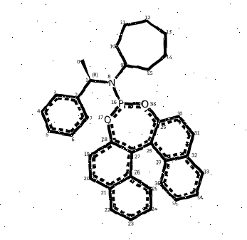 C[C@H](c1ccccc1)N(C1CCCCCC1)p1oc2ccc3ccccc3c2c2c(ccc3ccccc32)o1